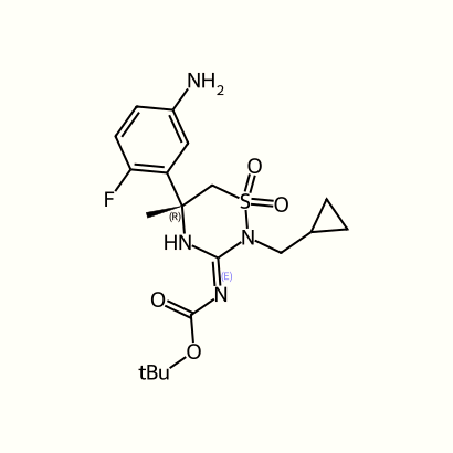 CC(C)(C)OC(=O)/N=C1\N[C@](C)(c2cc(N)ccc2F)CS(=O)(=O)N1CC1CC1